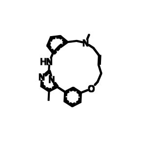 Cc1cnc2nc1-c1cccc(c1)OCC/C=C/CN(C)Cc1cccc(c1)N2